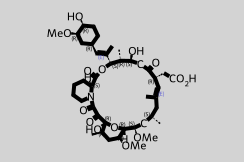 CO[C@H]1C[C@@H](C)C/C(C)=C/[C@@H](CC(=O)O)C(=O)C[C@H](O)[C@@H](C)[C@@H](/C(C)=C/[C@@H]2CC[C@@H](O)[C@H](OC)C2)OC(=O)[C@@H]2CCCCN2C(=O)C(=O)[C@]2(O)O[C@H]1[C@@H](OC)C[C@H]2C